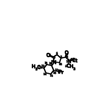 CCN(C)C(=O)C1CC(=O)N(C2CC(C)CCC2C(C)C)C1